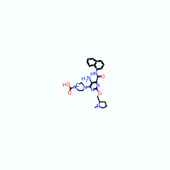 CN1CCCC1COc1nc(C(=O)Nc2cccc3ccccc23)c(N)c(N2CCN(C(=O)O)CC2)n1